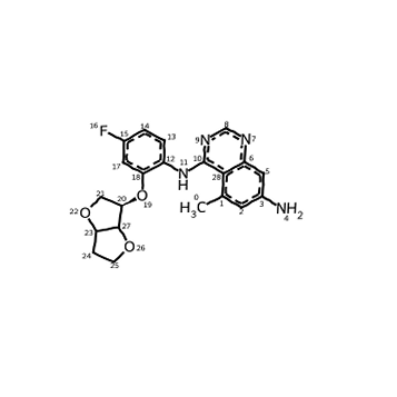 Cc1cc(N)cc2ncnc(Nc3ccc(F)cc3O[C@@H]3COC4CCOC43)c12